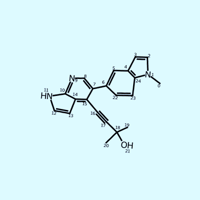 Cn1ccc2cc(-c3cnc4[nH]ccc4c3C#CC(C)(C)O)ccc21